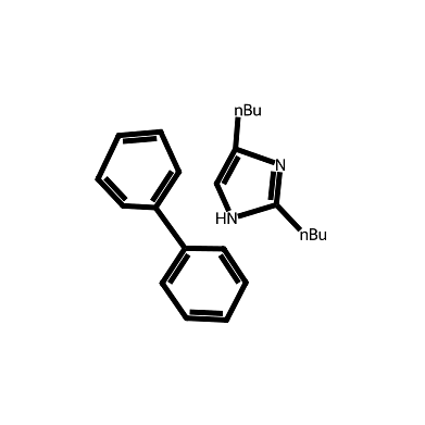 CCCCc1c[nH]c(CCCC)n1.c1ccc(-c2ccccc2)cc1